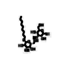 CCCCCCCCCO[C@@H]1O[C@H](CO)[C@@H](O)[C@H](O)[C@H]1O.OC[C@H]1OC(S)[C@H](O)[C@@H](O)[C@@H]1O